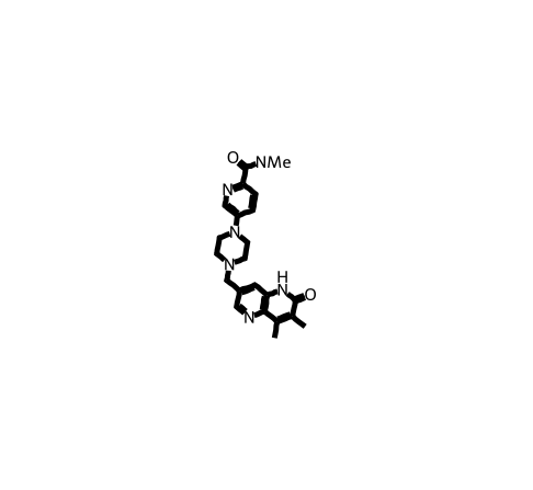 CNC(=O)c1ccc(N2CCN(Cc3cnc4c(C)c(C)c(=O)[nH]c4c3)CC2)cn1